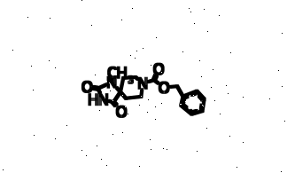 CN1C(=O)NC(=O)C12CCN(C(=O)OCc1ccccc1)CC2